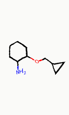 NC1CCCCC1OCC1CC1